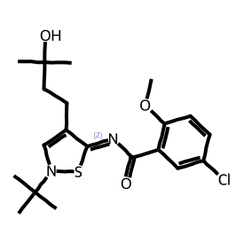 COc1ccc(Cl)cc1C(=O)/N=c1\sn(C(C)(C)C)cc1CCC(C)(C)O